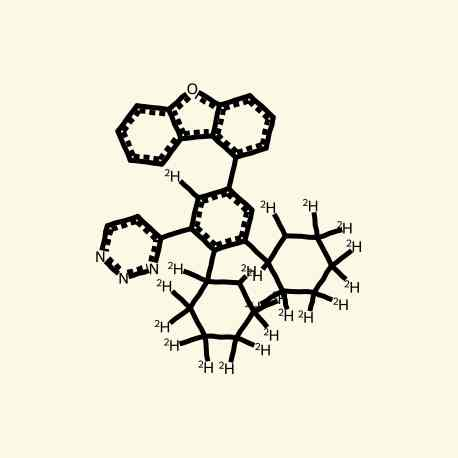 [2H]c1c(-c2cccc3oc4ccccc4c23)cc(C2([2H])C([2H])C([2H])([2H])C([2H])([2H])C([2H])([2H])C2([2H])[2H])c(C2([2H])C([2H])C([2H])([2H])C([2H])([2H])C([2H])([2H])C2([2H])[2H])c1-c1ccnnn1